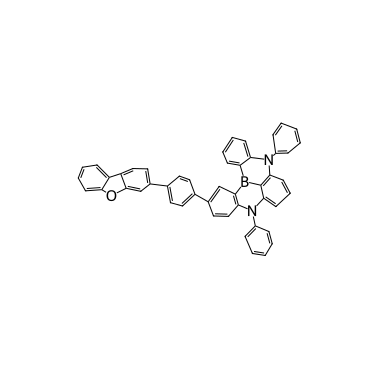 c1ccc(N2c3ccccc3B3c4cc(-c5ccc(-c6ccc7c(c6)oc6ccccc67)cc5)ccc4N(c4ccccc4)c4cccc2c43)cc1